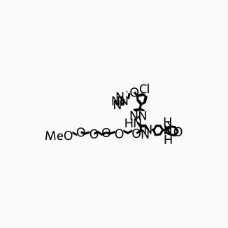 COCCOCCOCCOCCOCCCOc1nn(C2CCC(N3[C@@H]4CC[C@H]3COC4)CC2)cc1Nc1ncc(-c2ccc(Cl)c(O[C@@H](C)Cn3cnnn3)c2)cn1